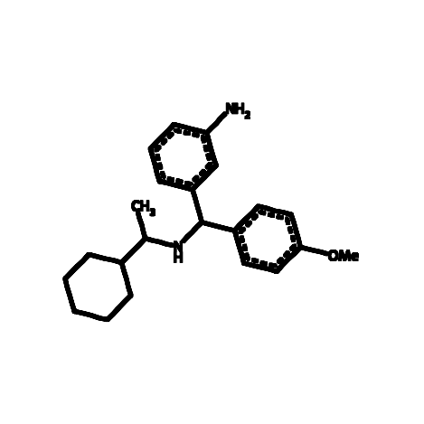 COc1ccc(C(NC(C)C2CCCCC2)c2cccc(N)c2)cc1